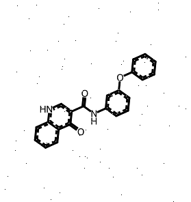 O=C(Nc1cccc(Oc2ccccc2)c1)c1c[nH]c2ccccc2c1=O